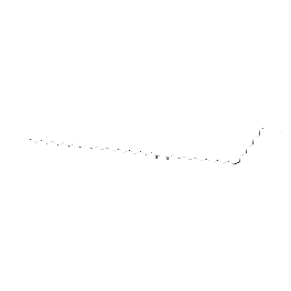 CCCCCCCC/C=C\CCCCCCCCCCCC(=O)OC(=O)CCCCCCCCCCCCCCCCCCCCCCCC